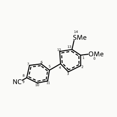 COc1ccc(-c2ccc(C#N)cc2)cc1SC